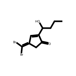 CCCC(O)C1=CC(=C(Br)Br)CC1=O